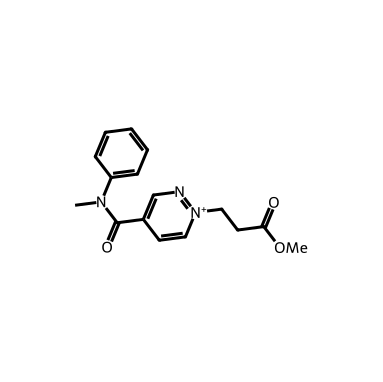 COC(=O)CC[n+]1ccc(C(=O)N(C)c2ccccc2)cn1